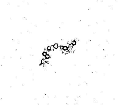 CC(C)(O)c1cc2nn([C@H]3CC[C@H](CN4C[C@H]5C[C@@H]4CN5c4cccc5c(N6CCC(=O)NC6=O)cncc45)CC3)cc2cc1NC(=O)c1cccc(C(F)(F)F)n1